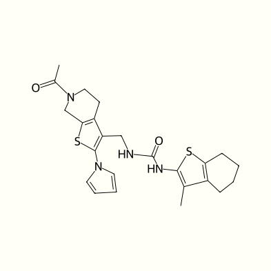 CC(=O)N1CCc2c(sc(-n3cccc3)c2CNC(=O)Nc2sc3c(c2C)CCCC3)C1